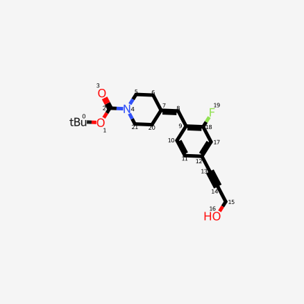 CC(C)(C)OC(=O)N1CCC(=Cc2ccc(C#CCO)cc2F)CC1